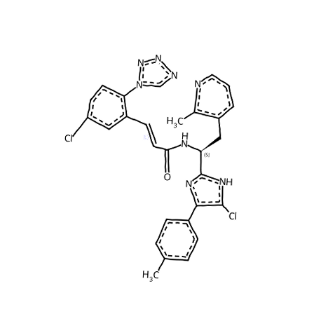 Cc1ccc(-c2nc([C@H](Cc3cccnc3C)NC(=O)/C=C/c3cc(Cl)ccc3-n3cnnn3)[nH]c2Cl)cc1